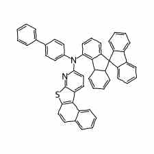 C1=CC2c3c(N(c4ccc(-c5ccccc5)cc4)c4ccc5c(n4)sc4ccc6ccccc6c45)cccc3C3(c4ccccc4-c4ccccc43)C2C=C1